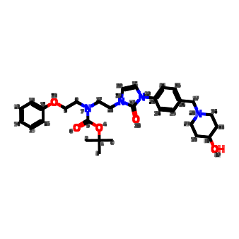 CC(C)(C)OC(=O)N(CCOc1ccccc1)CCn1ccn(-c2ccc(CN3CCC(O)CC3)cc2)c1=O